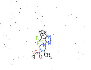 C/C=C(\c1c(C)ncnc1N1CCN(C(=O)OC2CC2)C(C)C1)C(F)(F)F